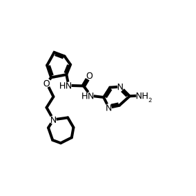 Nc1cnc(NC(=O)Nc2ccccc2OCCN2CCCCCC2)cn1